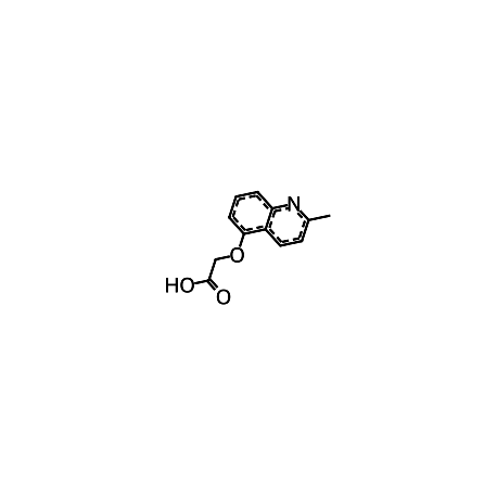 Cc1ccc2c(OCC(=O)O)cccc2n1